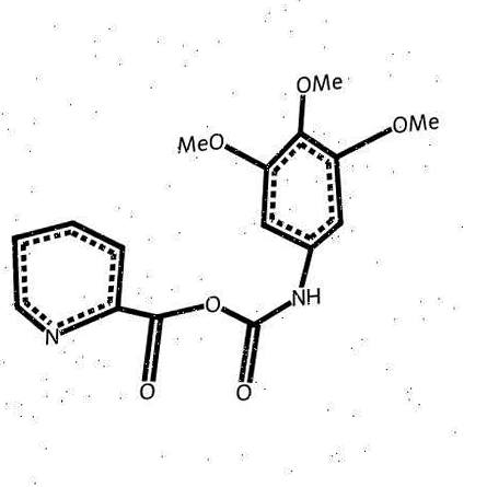 COc1cc(NC(=O)OC(=O)c2ccccn2)cc(OC)c1OC